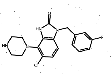 O=c1[nH]c2c(N3CCNCC3)c(Cl)ccc2n1Cc1cccc(F)c1